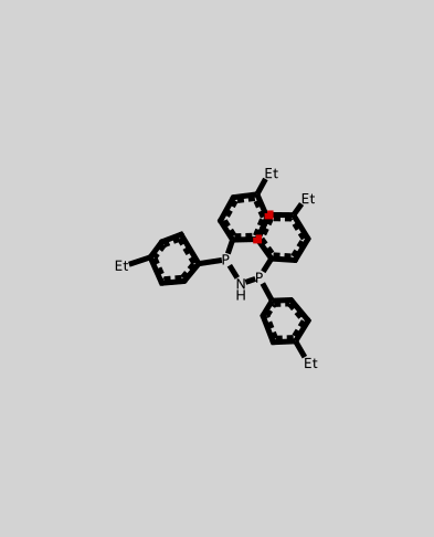 CCc1ccc(P(NP(c2ccc(CC)cc2)c2ccc(CC)cc2)c2ccc(CC)cc2)cc1